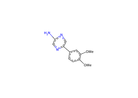 COc1ccc(-c2cnc(N)cn2)cc1OC